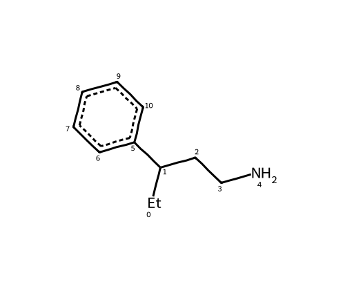 CCC(CCN)c1ccccc1